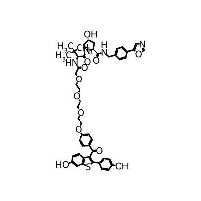 CC(C)(C)C(NC(=O)COCCOCCOCCOc1ccc(C(=O)c2c(-c3ccc(O)cc3)sc3cc(O)ccc23)cc1)C(=O)N1C[C@H](O)C[C@H]1C(=O)NCc1ccc(-c2cnco2)cc1